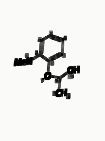 CNc1ccccc1OC(C)O